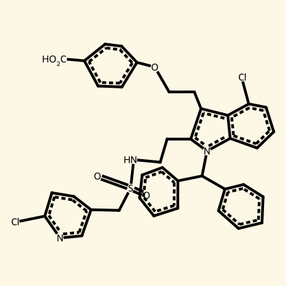 O=C(O)c1ccc(OCCc2c(CCNS(=O)(=O)Cc3ccc(Cl)nc3)n(C(c3ccccc3)c3ccccc3)c3cccc(Cl)c23)cc1